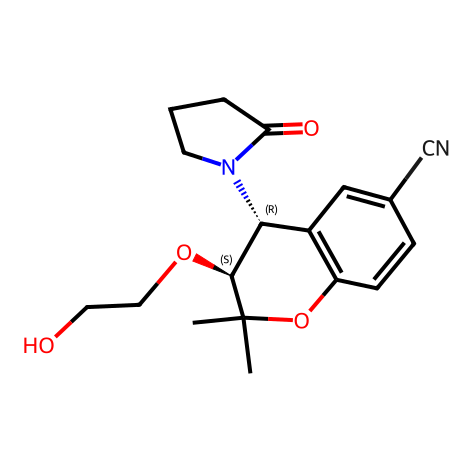 CC1(C)Oc2ccc(C#N)cc2[C@@H](N2CCCC2=O)[C@@H]1OCCO